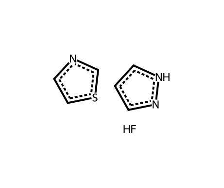 F.c1cn[nH]c1.c1cscn1